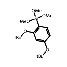 CO[Si](OC)(OC)c1ccc(OC(C)(C)C)cc1OC(C)(C)C